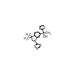 CC1(C)CN(c2ncns2)c2cc(C(C)(O)c3nccs3)ccc21